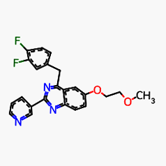 COCCOc1ccc2nc(-c3cccnc3)nc(Cc3ccc(F)c(F)c3)c2c1